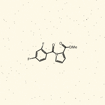 COC(=O)c1cccn1C(=O)c1ccc(F)cc1F